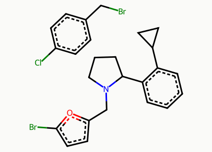 Brc1ccc(CN2CCCC2c2ccccc2C2CC2)o1.Clc1ccc(CBr)cc1